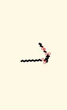 C=CCCOOCCOC(=O)C(C)(C)CC(C)(CC)C(=O)OCCCCCCCCCCCCC